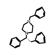 c1ccc(C[C@H](c2ccccc2)N2CCN(Cc3ccccc3)CC2)cc1